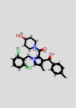 Cc1ccc(C(=O)c2c(C)cn(Cc3c(Cl)cccc3Cl)c2C(=O)N2CCC(O)CC2)cc1